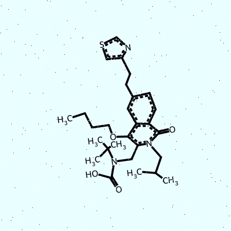 CCCCOc1c(CN(C(=O)O)C(C)(C)C)n(CC(C)C)c(=O)c2ccc(CCc3cscn3)cc12